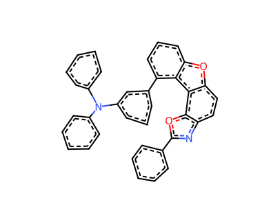 c1ccc(-c2nc3ccc4oc5cccc(-c6cccc(N(c7ccccc7)c7ccccc7)c6)c5c4c3o2)cc1